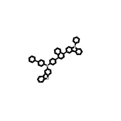 c1ccc(-c2ccc(N(c3ccc(-c4ccc(-c5ccc6c(c5)c5ccccc5n6-c5ccccc5)c5ccccc45)cc3)c3ccc4oc5ccccc5c4c3)cc2)cc1